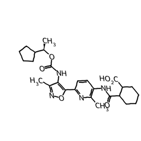 Cc1nc(-c2onc(C)c2NC(=O)O[C@H](C)C2CCCC2)ccc1NC(=O)C1CCCCC1C(=O)O